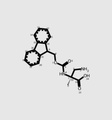 C[C@@](CN)(NC(=O)OCC1c2ccccc2-c2ccccc21)C(=O)O